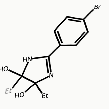 CCC1(O)N=C(c2ccc(Br)cc2)NC1(O)CC